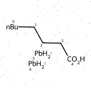 CCCCCCCC(=O)O.[PbH2].[PbH2]